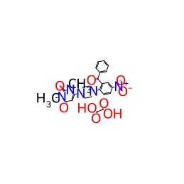 Cn1c(N2CCN(c3ccc([N+](=O)[O-])cc3C(=O)c3ccccc3)CC2)cc(=O)n(C)c1=O.O=C(O)C(=O)O